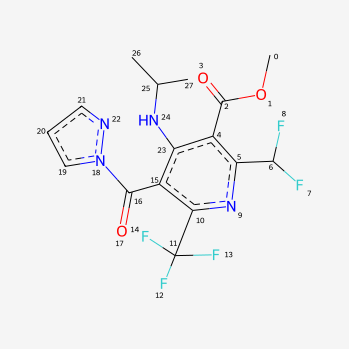 COC(=O)c1c(C(F)F)nc(C(F)(F)F)c(C(=O)n2cccn2)c1NC(C)C